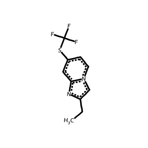 CCc1cn2ccc(SC(F)(F)F)cc2n1